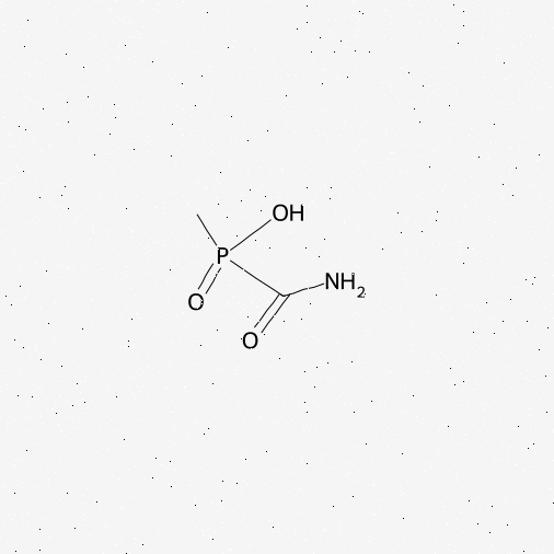 CP(=O)(O)C(N)=O